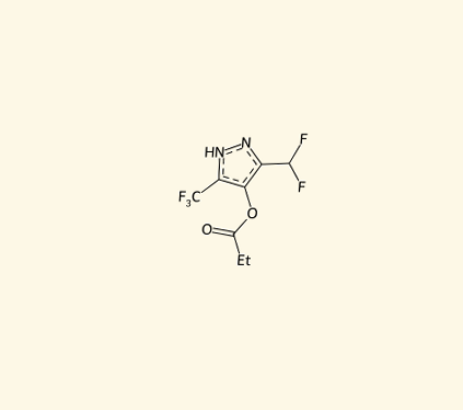 CCC(=O)Oc1c(C(F)F)n[nH]c1C(F)(F)F